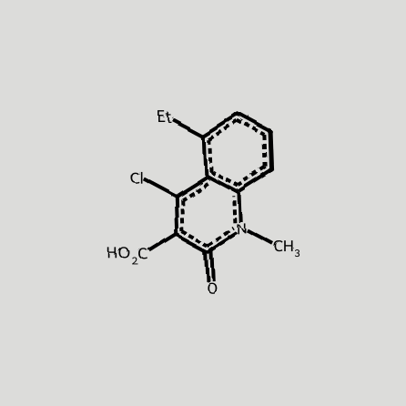 CCc1cccc2c1c(Cl)c(C(=O)O)c(=O)n2C